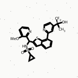 COc1cccnc1C(NS(=O)(=O)C1CC1)c1cc2cccc(-c3cc([C@@](C)(O)C(F)(F)F)ccn3)c2s1